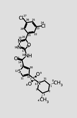 C[C@@H]1C[C@H](C)CN(S(=O)(=O)c2csc(C(=O)Nc3nnc(-c4cc(Cl)cc(Cl)c4)o3)c2)C1